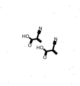 C=C(C#N)C(=O)O.C=C(C#N)C(=O)O